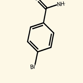 [NH]C(=O)c1ccc(Br)cc1